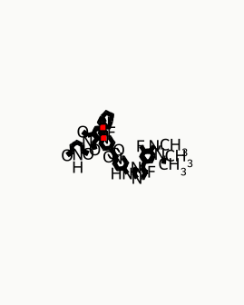 Cc1nc2c(F)cc(-c3nc(NC4CCN(S(=O)(=O)C5CCN(CC6CC7CCC(C6)N7c6cc7c(cc6F)C(=O)N(C6CCC(=O)NC6=O)C7=O)CC5)CC4)ncc3F)cc2n1C(C)C